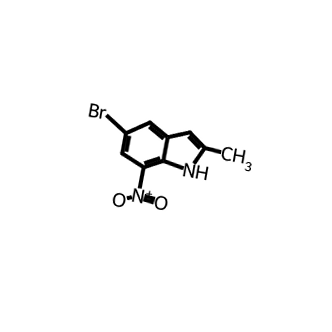 Cc1cc2cc(Br)cc([N+](=O)[O-])c2[nH]1